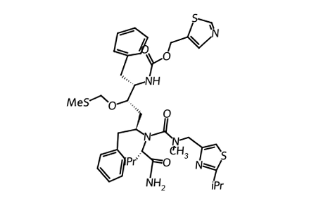 CSCO[C@@H](C[C@H](Cc1ccccc1)N(C(=O)N(C)Cc1csc(C(C)C)n1)[C@H](C(N)=O)C(C)C)[C@H](Cc1ccccc1)NC(=O)OCc1cncs1